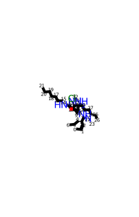 C/C=C\[C@@H](CCC)[C@H](NCC/C=C(\N)NCCCCCCC)N(C)[C@H](CC)CCCC1(NCl)CCC1